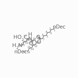 CCCCCCCCCCCCCCCCCC(=O)OC(CCCCCCCCCCCCCCC)CC(=O)N[C@@H](CCCN)C(=O)O